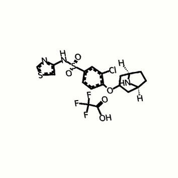 O=C(O)C(F)(F)F.O=S(=O)(Nc1cscn1)c1ccc(OC2C[C@H]3CC[C@@H](C2)N3)c(Cl)c1